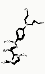 C/C(=N\N(C)c1ccc(N(CCO)CCO)cc1)c1n(C)cc[n+]1C